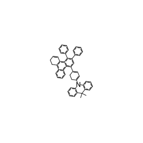 CC1(C)c2ccccc2N(C2=CC=C(c3cc(-c4ccccc4)c(-c4ccccc4)c4c5c(c6ccccc6c34)CCC=C5)CC2)c2ccccc21